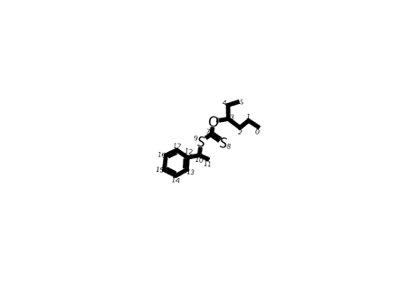 CCCC(CC)OC(=S)SC(C)c1ccccc1